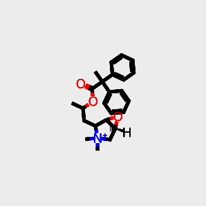 CC(CC1C2O[C@@H]2C[N+]1(C)C)OC(=O)C(C)(c1ccccc1)c1ccccc1